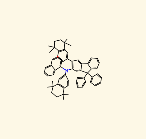 CC1(C)CCC(C)(C)c2cc(-c3cc4c(cc3N(c3ccc5c(c3)C(C)(C)CCC5(C)C)c3cccc5ccccc35)C(c3ccccc3)(c3ccccc3)c3ccccc3-4)ccc21